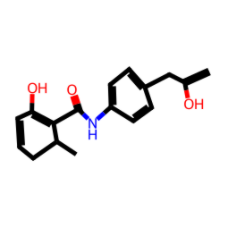 C=C(O)Cc1ccc(NC(=O)C2=C(O)C=CCC2C)cc1